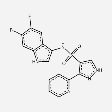 O=S(=O)(Nc1c[nH]c2cc(F)c(F)cc12)c1c[nH]nc1-c1ccccn1